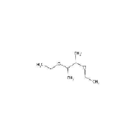 [CH2]C(OCC)C([CH2])OCC